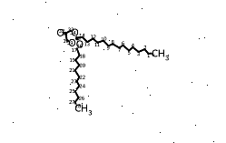 CCCCCCCCCCCCCCCC1(OCCCCCCCCCCCC)OCC(=O)CO1